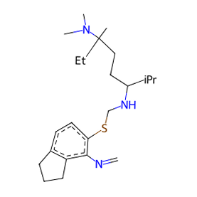 C=Nc1c(SCNC(CCC(C)(CC)N(C)C)C(C)C)ccc2c1CCC2